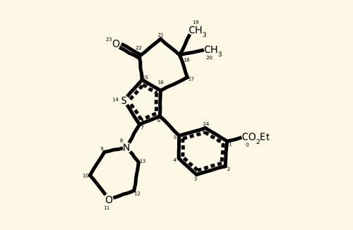 CCOC(=O)c1cccc(-c2c(N3CCOCC3)sc3c2CC(C)(C)CC3=O)c1